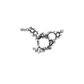 COc1cc2c(cn1)CCN(C[C@]1(O)CCC[C@H](C)[C@@H](C)[S+]([O-])NC(=O)c3ccc4c(c3)N(CCCCc3cc(Cl)ccc3CO4)C[C@@H]3CC[C@H]31)C2